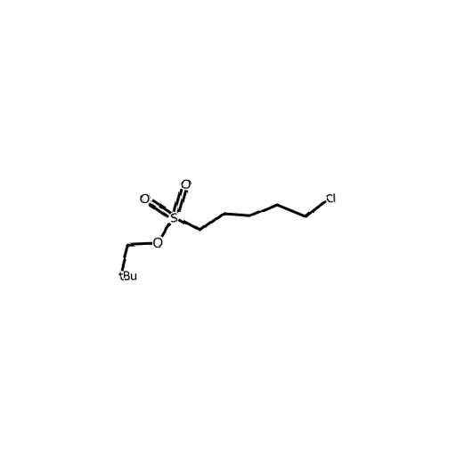 CC(C)(C)COS(=O)(=O)CCCCCCl